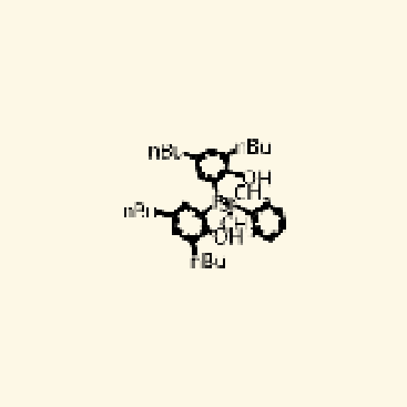 CCCCc1cc(CCCC)c(O)c(P(c2cc(CCCC)cc(CCCC)c2O)[Si](C)(C)c2ccccc2)c1